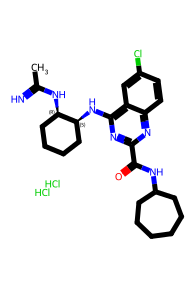 CC(=N)N[C@@H]1CCCC[C@@H]1Nc1nc(C(=O)NC2CCCCCC2)nc2ccc(Cl)cc12.Cl.Cl